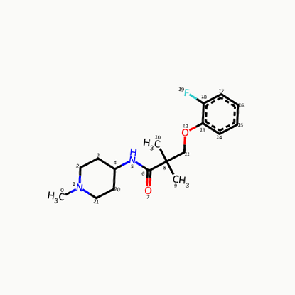 CN1CCC(NC(=O)C(C)(C)COc2ccccc2F)CC1